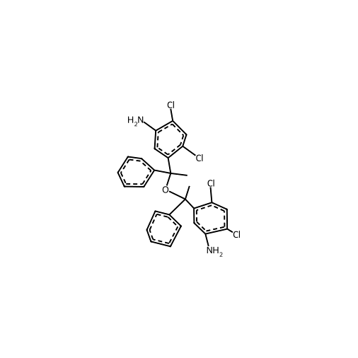 CC(OC(C)(c1ccccc1)c1cc(N)c(Cl)cc1Cl)(c1ccccc1)c1cc(N)c(Cl)cc1Cl